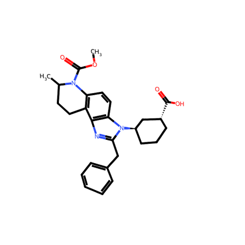 COC(=O)N1c2ccc3c(nc(Cc4ccccc4)n3[C@@H]3CCC[C@@H](C(=O)O)C3)c2CCC1C